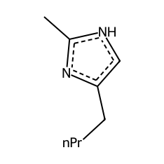 CCCCc1c[nH]c(C)n1